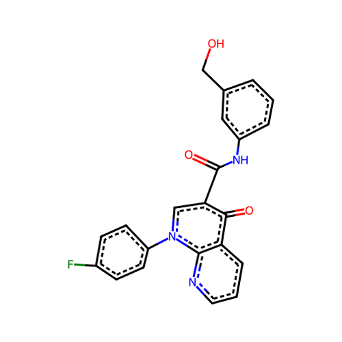 O=C(Nc1cccc(CO)c1)c1cn(-c2ccc(F)cc2)c2ncccc2c1=O